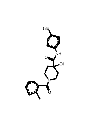 Cc1ccccc1C(=O)N1CCC(O)(C(=O)Nc2ccc(C(C)(C)C)cc2)CC1